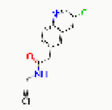 C#CCNC(=O)Cc1ccc2ncc(Cl)cc2c1